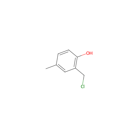 Cc1ccc(O)c(CCl)c1